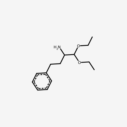 CCOC(OCC)C(N)CCc1ccccc1